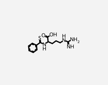 N=C(N)NCCCC(NC(=S)c1ccccc1)C(=O)O